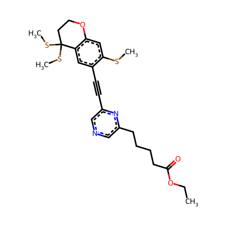 CCOC(=O)CCCCc1cncc(C#Cc2cc3c(cc2SC)OCCC3(SC)SC)n1